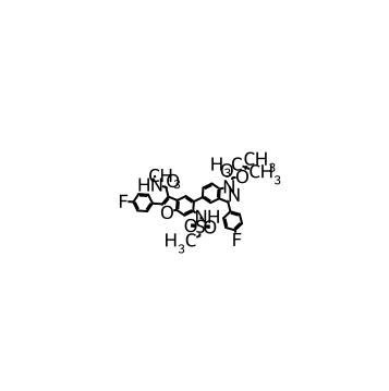 CCS(=O)(=O)Nc1cc2oc(-c3ccc(F)cc3)c(C(=O)NC)c2cc1-c1ccc2c(c1)c(-c1ccc(F)cc1)nn2C(=O)OC(C)(C)C